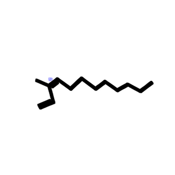 C=C/C(C)=C\CCCCCCCC